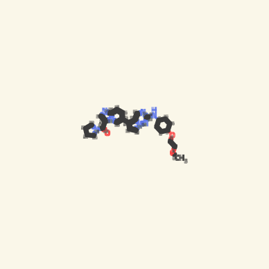 COCCO[C@H]1CC[C@H](Nc2ncc3c(-c4ccc5ncc(C(=O)N6CCCC6)n5c4)ccn3n2)CC1